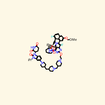 COCOc1cc(-c2ncc3c(N4CC5CCC(C4)N5C(=O)OC(C)(C)C)nc(OCCN4CCC(CN5CCC(CC6CCN(c7ccc8c(c7)n(C(C)C)c(=O)n8C7CCC(=O)NC7=O)CC6)CC5)CC4)nc3c2F)c2c(C#C[Si](C(C)C)(C(C)C)C(C)C)c(F)ccc2c1